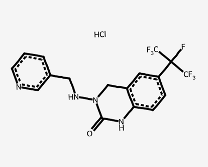 Cl.O=C1Nc2ccc(C(F)(C(F)(F)F)C(F)(F)F)cc2CN1NCc1cccnc1